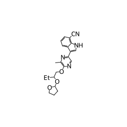 CCC(COc1ncc(-c2c[nH]c3c(C#N)cccc23)nc1C)OC1CCCO1